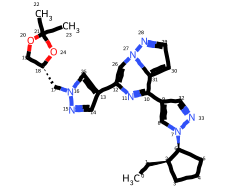 CC[C@@H]1CCC[C@@H]1n1cc(-c2nc(-c3cnn(C[C@@H]4COC(C)(C)O4)c3)cn3nccc23)cn1